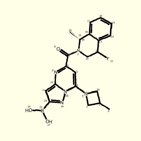 CC1CN(c2cc(C(=O)N3CC(F)c4ccccc4[C@H]3C)nc3cc(B(O)O)nn23)C1